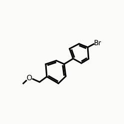 COCc1ccc(-c2ccc(Br)cc2)cc1